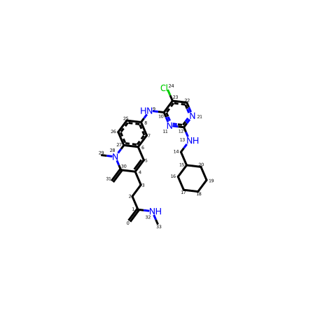 C=C(CCC1=Cc2cc(Nc3nc(NCC4CCCCC4)ncc3Cl)ccc2N(C)C1=C)NC